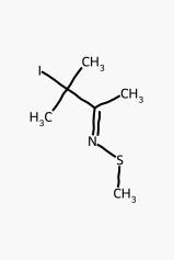 CS/N=C(\C)C(C)(C)I